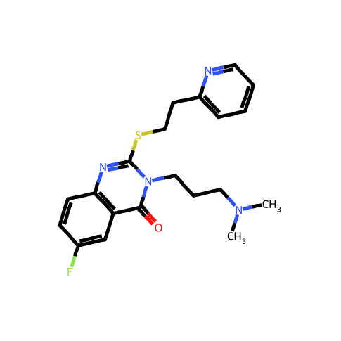 CN(C)CCCn1c(SCCc2ccccn2)nc2ccc(F)cc2c1=O